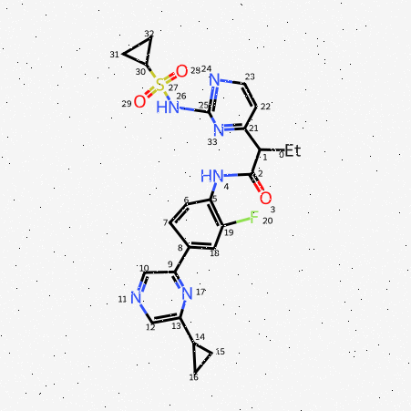 CCC(C(=O)Nc1ccc(-c2cncc(C3CC3)n2)cc1F)c1ccnc(NS(=O)(=O)C2CC2)n1